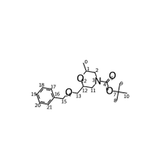 CC1CN(C(=O)OC(C)(C)C)CC(COCc2ccccc2)O1